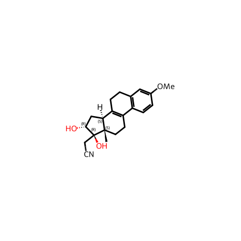 COc1ccc2c(c1)CCC1=C2CC[C@@]2(C)[C@H]1C[C@@H](O)[C@@]2(O)CC#N